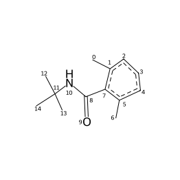 Cc1cccc(C)c1C(=O)NC(C)(C)C